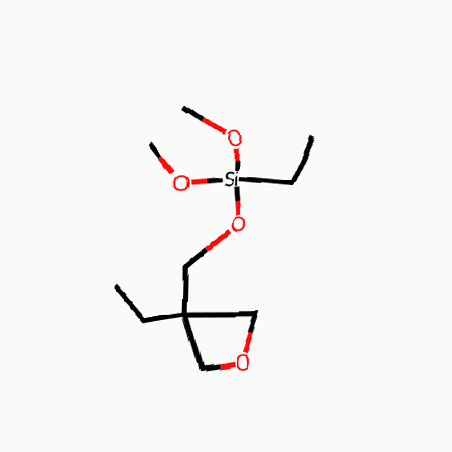 CCC1(CO[Si](CC)(OC)OC)COC1